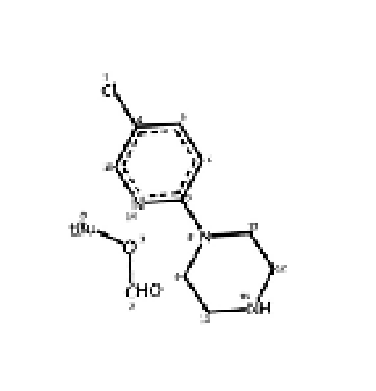 CC(C)(C)OC=O.Clc1ccc(N2CCNCC2)nc1